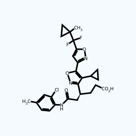 Cc1ccc(NC(=O)C[C@H](CCC(=O)O)c2noc(-c3cc(C(F)(F)C4(C)CC4)on3)c2C2CC2)c(Cl)c1